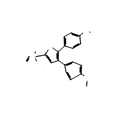 C=C[Si](C)(C)c1cc(-c2ccc(OC)cc2)c(-c2ccc(OC)cc2)s1